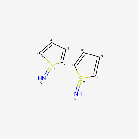 N=S1C=CC=C1.N=S1C=CC=C1